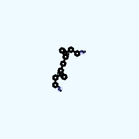 C/C=C/c1cccc(-c2cccc(-n3c4ccccc4c4cc(-c5ccc(-c6ccc7c(c6)c6ccccc6n7-c6cccc(-c7cccc(/C=C/C)c7)c6)cc5)ccc43)c2)c1